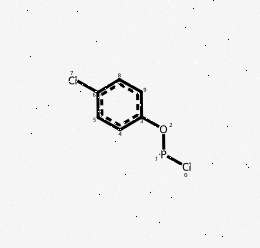 Cl[P]Oc1ccc(Cl)cc1